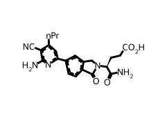 CCCc1cc(-c2ccc3c(c2)CN([C@@H](CCC(=O)O)C(N)=O)C3=O)nc(N)c1C#N